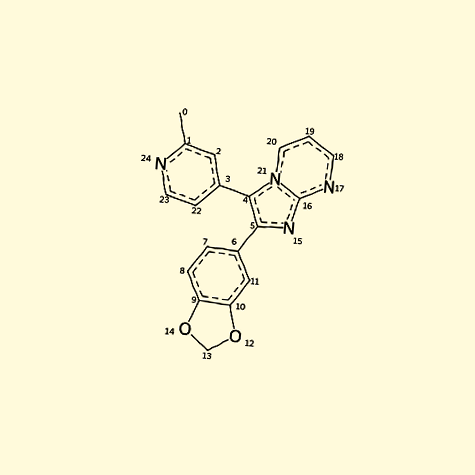 Cc1cc(-c2c(-c3ccc4c(c3)OCO4)nc3ncccn23)ccn1